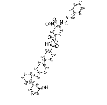 O=C(NS(=O)(=O)c1ccc(NCCSc2ccccc2)c([N+](=O)[O-])c1)c1ccc(N2CCN(Cc3ccccc3-c3cncc(O)c3)CC2)cc1